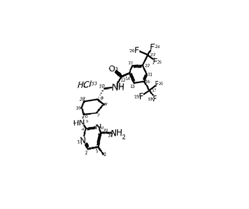 Cc1cnc(N[C@H]2CC[C@@H](CNC(=O)c3cc(C(F)(F)F)cc(C(F)(F)F)c3)CC2)nc1N.Cl